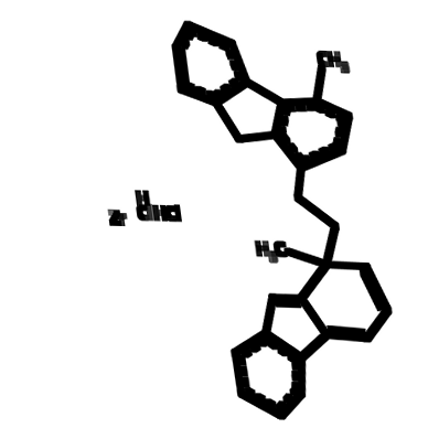 Cc1ccc(CCC2(C)C=CC=C3C2=Cc2ccccc23)c2c1-c1ccccc1C2.Cl.Cl.[Zr]